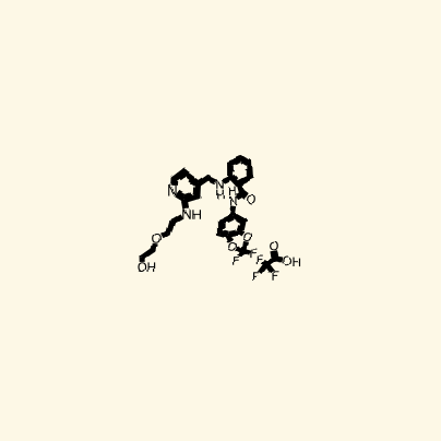 O=C(Nc1ccc2c(c1)OC(F)(F)O2)c1ccccc1NCc1ccnc(NCCOCCO)c1.O=C(O)C(F)(F)F